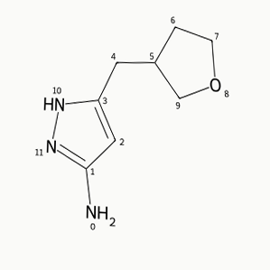 Nc1cc(CC2CCOC2)[nH]n1